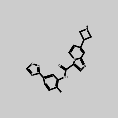 Cc1ccc(-c2ncon2)cc1NC(=O)c1cnc2cc(C3CNC3)ccn12